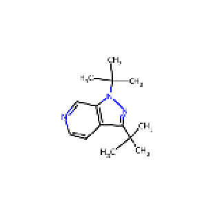 CC(C)(C)c1nn(C(C)(C)C)c2cnccc12